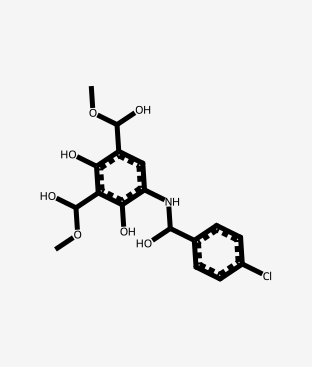 COC(O)c1cc(NC(O)c2ccc(Cl)cc2)c(O)c(C(O)OC)c1O